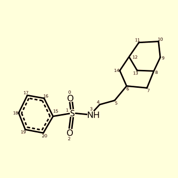 O=S(=O)(NCCC1CC2CCCC(C2)C1)c1ccccc1